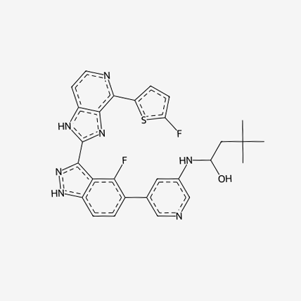 CC(C)(C)CC(O)Nc1cncc(-c2ccc3[nH]nc(-c4nc5c(-c6ccc(F)s6)nccc5[nH]4)c3c2F)c1